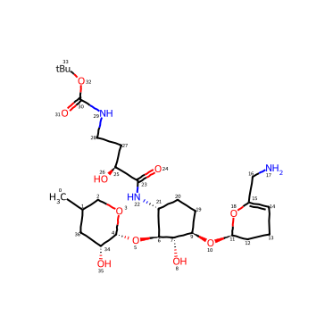 CC1CO[C@H](O[C@@H]2[C@@H](O)[C@H](O[C@@H]3CCC=C(CN)O3)CC[C@H]2NC(=O)[C@@H](O)CCNC(=O)OC(C)(C)C)[C@H](O)C1